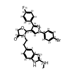 CNc1nc2cc(CCN3C(=O)COC3c3cn(-c4ccc(Br)cc4)nc3-c3ccc(F)cc3)ccc2[nH]1